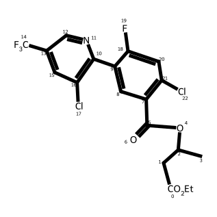 CCOC(=O)CC(C)OC(=O)c1cc(-c2ncc(C(F)(F)F)cc2Cl)c(F)cc1Cl